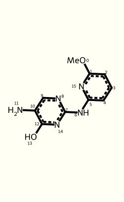 COc1cccc(Nc2ncc(N)c(O)n2)n1